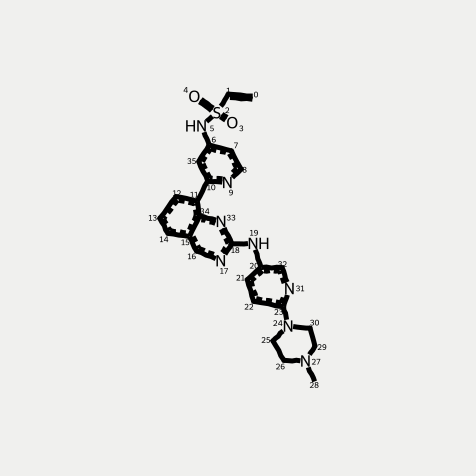 C=CS(=O)(=O)Nc1ccnc(-c2cccc3cnc(Nc4ccc(N5CCN(C)CC5)nc4)nc23)c1